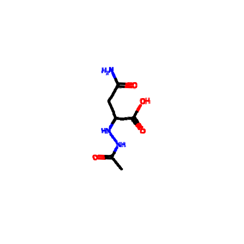 CC(=O)NNC(CC(N)=O)C(=O)O